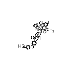 COC(=O)C1=C(CN2CCN3C(=O)N(c4ccc(Oc5ccc(CO)cc5)cc4)C[C@@H]3C2)NC(c2nccs2)=NC1c1ccc(F)cc1Cl